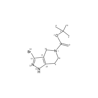 C=C(OC(C)(C)C)N1CCc2[nH]nc(Br)c2C1